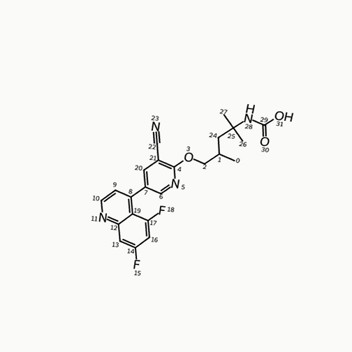 CC(COc1ncc(-c2ccnc3cc(F)cc(F)c23)cc1C#N)CC(C)(C)NC(=O)O